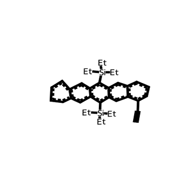 C#Cc1cccc2cc3c([Si](CC)(CC)CC)c4cc5ccccc5cc4c([Si](CC)(CC)CC)c3cc12